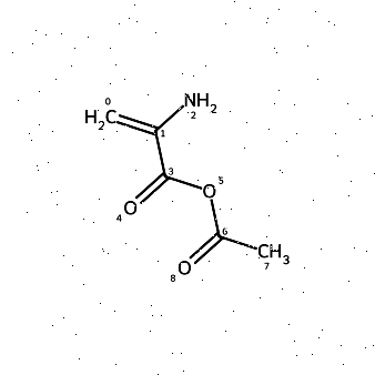 C=C(N)C(=O)OC(C)=O